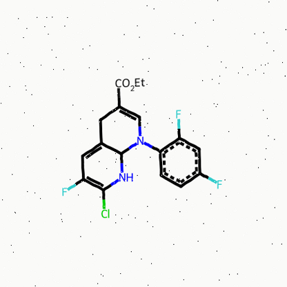 CCOC(=O)C1=CN(c2ccc(F)cc2F)C2NC(Cl)=C(F)C=C2C1